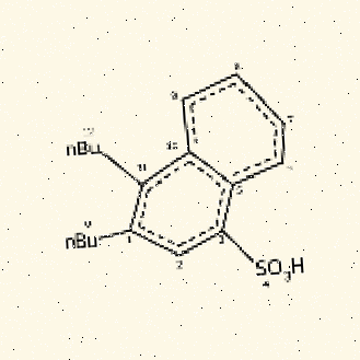 CCCCc1cc(S(=O)(=O)O)c2ccccc2c1CCCC